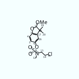 COC1Oc2ccc(OS(=O)(=O)N(C)CCCl)cc2C1(C)C